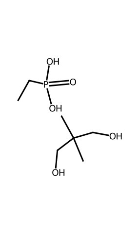 CC(C)(CO)CO.CCP(=O)(O)O